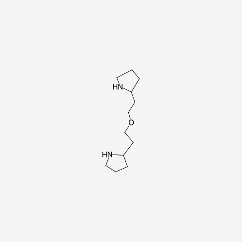 C1CNC(CCOCCC2CCCN2)C1